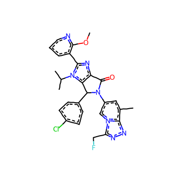 COc1ncccc1-c1nc2c(n1C(C)C)C(c1ccc(Cl)cc1)N(c1cc(C)c3nnc(CF)n3c1)C2=O